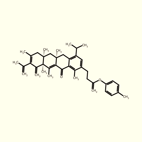 C=C(CCc1cc(C(C)C)c2c(c1C)C(=O)C1=C(C)[C@@]3(C)C(=C)C(C(=C)C)=C(C)C[C@@]3(C)C[C@@]1(C)C2)Oc1ccc(C)cc1